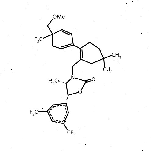 COCC1(C(F)(F)F)C=CC(C2=C(CN3C(=O)O[C@H](c4cc(C(F)(F)F)cc(C(F)(F)F)c4)[C@@H]3C)CC(C)(C)CC2)=CC1